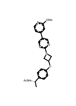 COc1cc(-c2cnc(N3CC(Oc4ccc([C@H](C)NC(C)=O)cc4)C3)nc2)ccn1